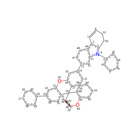 C1=Cc2c(n(-c3ccccc3)c3cc(-c4ccc5c(c4)Oc4cc(-c6ccccc6)ccc4C54c5ccccc5Oc5ccccc54)ccc23)CC1